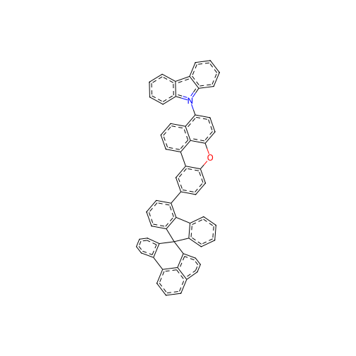 c1ccc2c(c1)-c1c(-c3ccc4c(c3)-c3cccc5c(-n6c7ccccc7c7ccccc76)ccc(c35)O4)cccc1C21c2ccccc2-c2cccc3cccc1c23